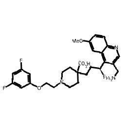 COc1ccc2ncc(CN)c([C@@H](F)CCC3(C(=O)O)CCN(CCOc4cc(F)cc(F)c4)CC3)c2c1